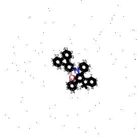 CC1(C)c2ccccc2-c2c1c1c3ccccc3oc1c1c2c2ccccc2n1-c1ccc2c3ccccc3c3ccccc3c2c1